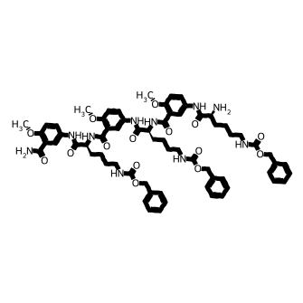 COc1ccc(NC(=O)[C@H](CCCCNC(=O)OCc2ccccc2)NC(=O)c2cc(NC(=O)[C@H](CCCCNC(=O)OCc3ccccc3)NC(=O)c3cc(NC(=O)[C@@H](N)CCCCNC(=O)OCc4ccccc4)ccc3OC)ccc2OC)cc1C(N)=O